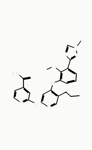 CCC(=O)c1cnc(Nc2cc(C(N)=O)ccn2)cc1Nc1cccc(-c2ncn(C)n2)c1OC